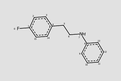 Fc1ccc(CCNc2ccccc2)cc1